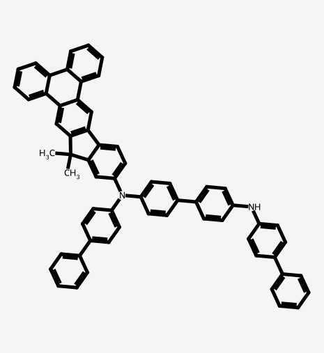 CC1(C)c2cc(N(c3ccc(-c4ccccc4)cc3)c3ccc(-c4ccc(Nc5ccc(-c6ccccc6)cc5)cc4)cc3)ccc2-c2cc3c4ccccc4c4ccccc4c3cc21